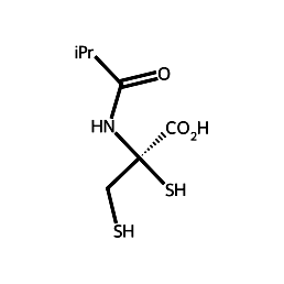 CC(C)C(=O)N[C@@](S)(CS)C(=O)O